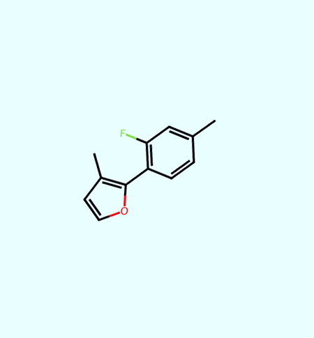 Cc1ccc(-c2occc2C)c(F)c1